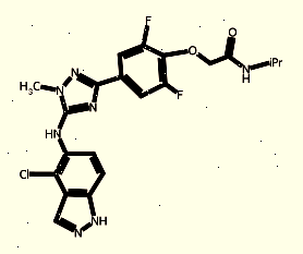 CC(C)NC(=O)COc1c(F)cc(-c2nc(Nc3ccc4[nH]ncc4c3Cl)n(C)n2)cc1F